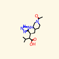 CC(=O)N1CCC(C[C@H](c2nnn[nH]2)C(C(=O)O)C(C)C)CC1